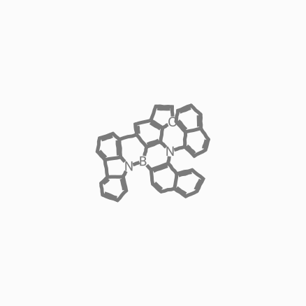 c1ccc2c(N3c4c(ccc5ccccc45)B4c5c(cc6ccoc6c53)-c3cccc5c6ccccc6n4c35)cccc2c1